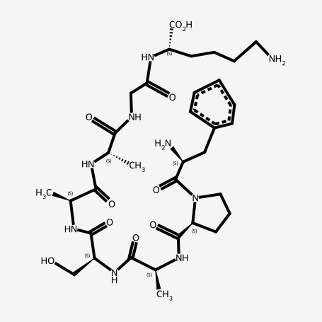 C[C@H](NC(=O)[C@H](C)NC(=O)[C@H](CO)NC(=O)[C@H](C)NC(=O)[C@@H]1CCCN1C(=O)[C@@H](N)Cc1ccccc1)C(=O)NCC(=O)N[C@@H](CCCCN)C(=O)O